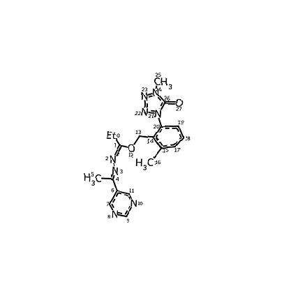 CC/C(=N/N=C(\C)c1cncnc1)OCc1c(C)cccc1-n1nnn(C)c1=O